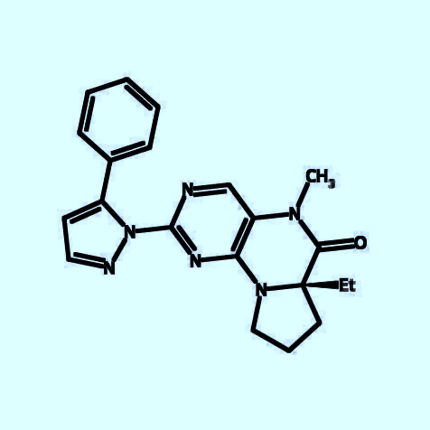 CC[C@@]12CCCN1c1nc(-n3nccc3-c3ccccc3)ncc1N(C)C2=O